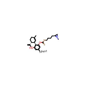 C=C(C)[C@@H]1CCC(C)=C[C@H]1c1c(O)cc(CCCCC)cc1OC(=S)SCCCCC1CN1C